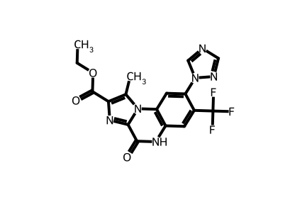 CCOC(=O)c1nc2c(=O)[nH]c3cc(C(F)(F)F)c(-n4cncn4)cc3n2c1C